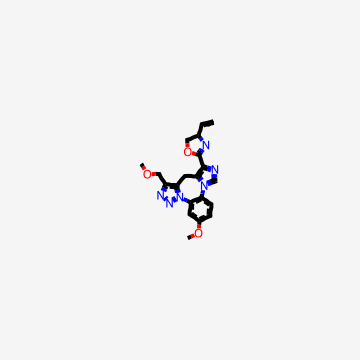 C=CC1COC(c2ncn3c2Cc2c(COC)nnn2-c2cc(OC)ccc2-3)=N1